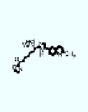 CNC(CCCCCC(=O)c1ncco1)c1ncc(-c2ccc3nc(C)ccc3c2)[nH]1.Cl